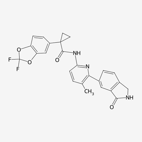 Cc1ccc(NC(=O)C2(c3ccc4c(c3)OC(F)(F)O4)CC2)nc1-c1ccc2c(c1)C(=O)NC2